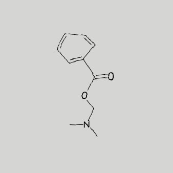 CN(C)COC(=O)c1ccccc1